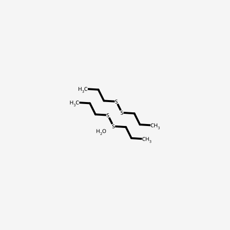 CCCSSCCC.CCCSSCCC.O